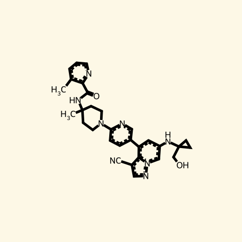 Cc1cccnc1C(=O)NC1(C)CCN(c2ccc(-c3cc(NC4(CO)CC4)cn4ncc(C#N)c34)cn2)CC1